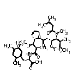 CC[C@H](C)[C@@H]([C@@H](CC(=O)N1CCC[C@H]1[C@H](OC)[C@@H](C)C(=O)N[C@@H](CC1=CC(C)C(C)=CC1C)C(=O)O)OC)N(C)C(=O)CC(C)C